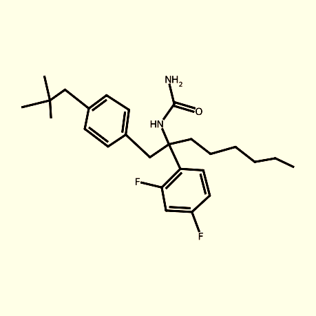 CCCCCCC(Cc1ccc(CC(C)(C)C)cc1)(NC(N)=O)c1ccc(F)cc1F